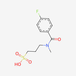 CN(CCCS(=O)(=O)O)C(=O)c1ccc(F)cc1